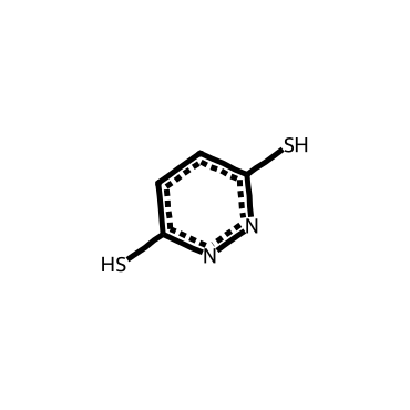 Sc1ccc(S)nn1